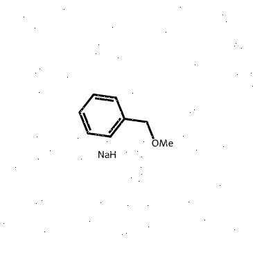 COCc1ccccc1.[NaH]